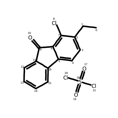 CCc1ccc2c(c1Cl)C(=O)c1ccccc1-2.O=S(=O)(Cl)Cl